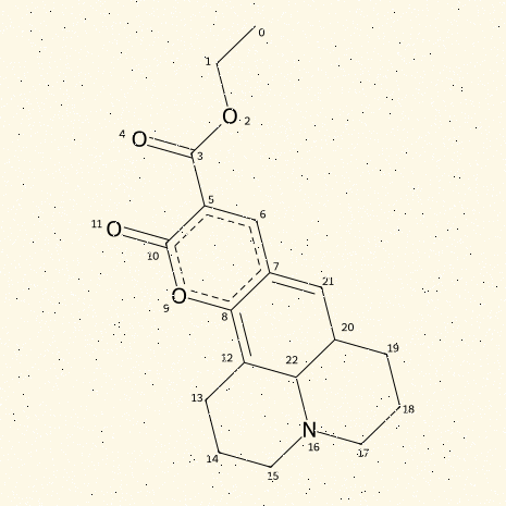 CCOC(=O)c1cc2c(oc1=O)=C1CCCN3CCCC(C=2)C13